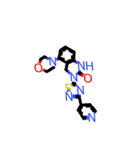 O=C1Nc2cccc(N3CCOCC3)c2CN1c1nc(-c2ccncc2)ns1